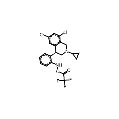 O=C(ONc1ccccc1[C@@H]1CN(C2CC2)Cc2c(Cl)cc(Cl)cc21)C(F)(F)F